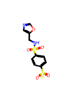 O=[SH](=O)c1ccc(S(=O)(=O)NCc2cnco2)cc1